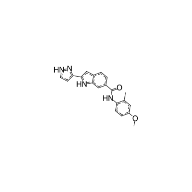 COc1ccc(NC(=O)c2ccc3cc(-c4cc[nH]n4)[nH]c3c2)c(C)c1